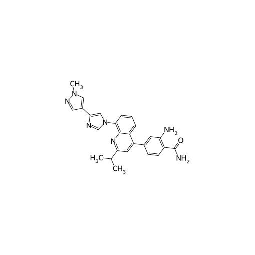 CC(C)c1cc(-c2ccc(C(N)=O)c(N)c2)c2cccc(-n3cnc(-c4cnn(C)c4)c3)c2n1